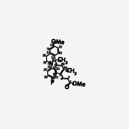 COC(=O)C=Cc1ccc(C2(C)c3ccc(OC)cc3CCN2c2ccc(F)cc2)cc1C